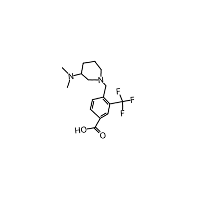 CN(C)C1CCCN(Cc2ccc(C(=O)O)cc2C(F)(F)F)C1